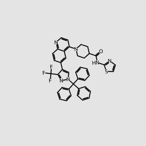 O=C(Nc1nccs1)C1CCN(c2ccnc3ccc(-c4cn(C(c5ccccc5)(c5ccccc5)c5ccccc5)nc4C(F)(F)F)cc23)CC1